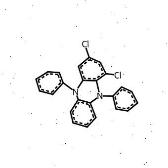 Clc1cc(Cl)c2c(c1)N(c1ccccc1)c1ccccc1N2c1ccccc1